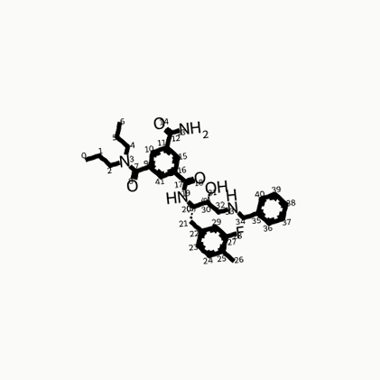 CCCN(CCC)C(=O)c1cc(C(N)=O)cc(C(=O)N[C@@H](Cc2ccc(C)c(F)c2)[C@H](O)CNCc2ccccc2)c1